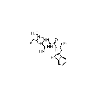 CCCC(Cc1c[nH]c2ccccc12)NC(=O)C(=N)NC(=N)N1CCN(C)C(CF)C1